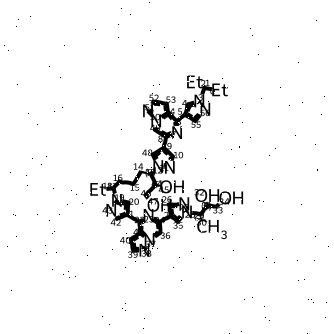 CCC(CC)n1cc(-c2nc(-c3cnn([C@H](CCCC(CC)n4cc(-c5nc(-c6cnn([C@@H](C)[C@@H](O)CO)c6)cn6nccc56)cn4)[C@H](O)CO)c3)cn3nccc23)cn1